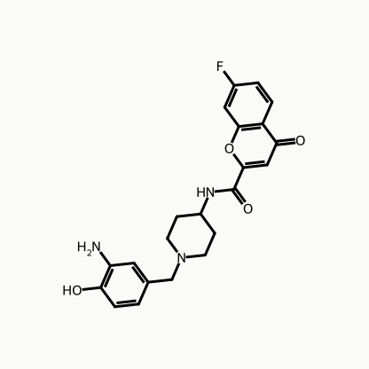 Nc1cc(CN2CCC(NC(=O)c3cc(=O)c4ccc(F)cc4o3)CC2)ccc1O